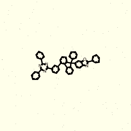 c1ccc(-c2nc(-c3ccccc3)nc(-c3cccc(-c4cccc5c4-c4ccccc4C5(c4ccccc4)c4ccc5nc(-c6ccccc6)oc5c4)c3)n2)cc1